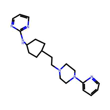 c1ccc(N2CCN(CCC3CCC(Nc4ncccn4)CC3)CC2)nc1